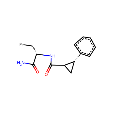 CC(C)C[C@H](NC(=O)C1C[C@H]1c1ccccc1)C(N)=O